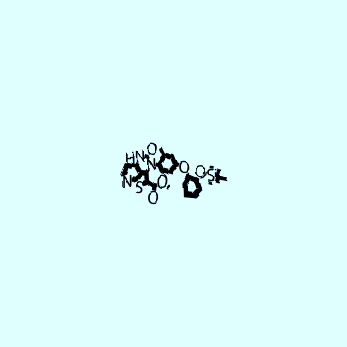 COC(=O)c1sc2nccc3c2c1N(c1ccc(Oc2ccccc2O[Si](C)(C)C(C)(C)C)cc1C)C(=O)N3